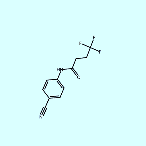 N#Cc1ccc(NC(=O)CCC(F)(F)F)cc1